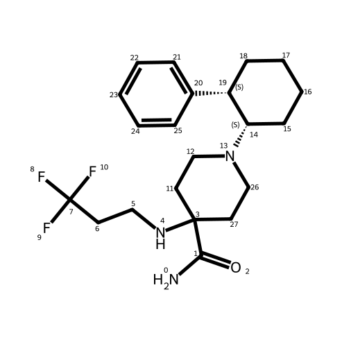 NC(=O)C1(NCCC(F)(F)F)CCN([C@H]2CCCC[C@H]2c2ccccc2)CC1